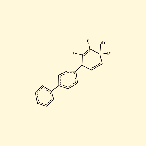 CCCC1(CC)C=CC(c2ccc(-c3ccccc3)cc2)C(F)=C1F